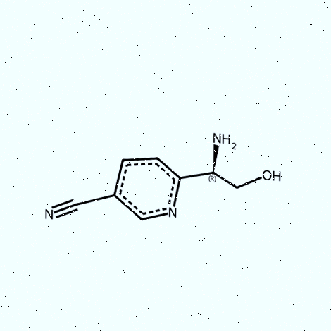 N#Cc1ccc([C@@H](N)CO)nc1